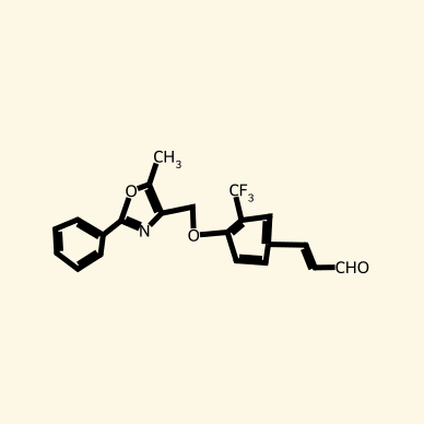 Cc1oc(-c2ccccc2)nc1COc1ccc(C=CC=O)cc1C(F)(F)F